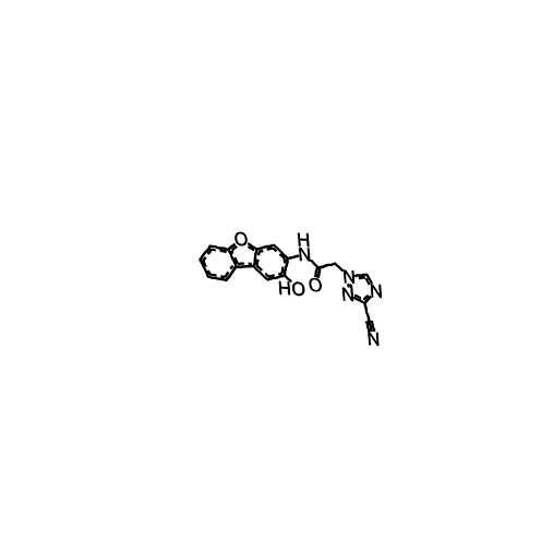 N#Cc1ncn(CC(=O)Nc2cc3oc4ccccc4c3cc2O)n1